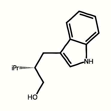 CC(C)[C@@H](CO)Cc1c[nH]c2ccccc12